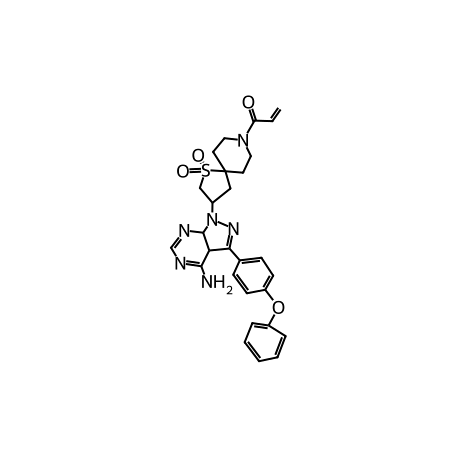 C=CC(=O)N1CCC2(CC1)CC(N1N=C(c3ccc(Oc4ccccc4)cc3)C3C(N)=NC=NC31)CS2(=O)=O